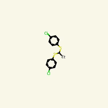 CCC(Sc1ccc(Cl)cc1)Sc1ccc(Cl)cc1